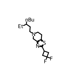 CCCCC(CC)CCN1CCc2sc(C3CC(F)(F)C3)nc2C1